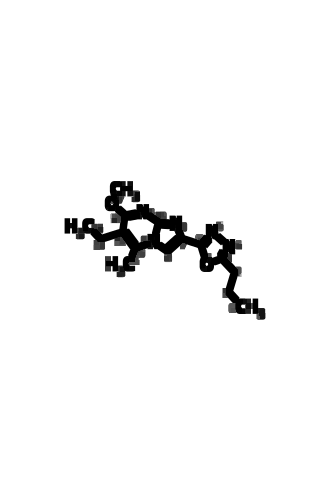 CCCc1nnc(-c2cn3c(C)c(CC)c(OC)nc3n2)o1